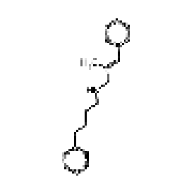 C/C(=C\c1ccccc1)CNCCCCc1ccccc1